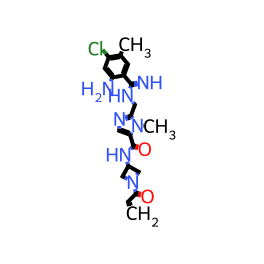 C=CC(=O)N1CC(NC(=O)c2cnc(CNC(=N)c3cc(C)c(Cl)cc3N)n2C)C1